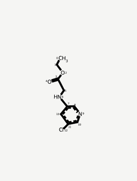 CCOC(=O)CNc1cncc(Cl)c1